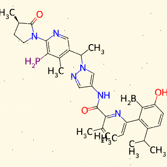 Bc1c(O)ccc(C(C)C)c1C(=C/C)/N=C(\C(=C)C)C(=O)Nc1cnn(C(C)c2cnc(N3CC[C@@H](C)C3=O)c(P)c2C)c1